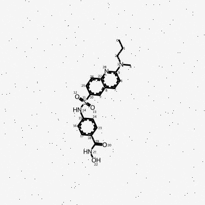 CCCN(C)c1ccc2cc(S(=O)(=O)Nc3ccc(C(=O)NO)cc3)ccc2n1